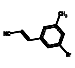 Cc1cc(Br)cc(C=CC#N)c1